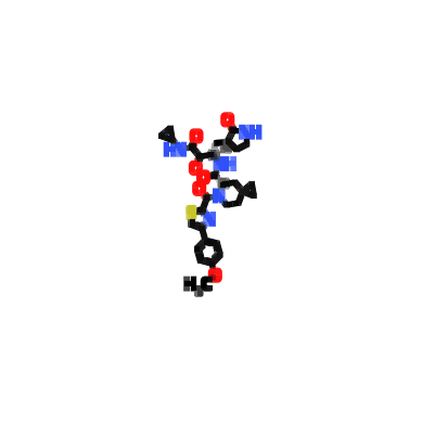 COc1ccc(-c2csc(C(=O)N3CCC4(CC4)C[C@H]3C(=O)N[C@@H](C[C@@H]3CCNC3=O)C(=O)C(=O)NC3CC3)n2)cc1